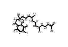 CC1=[C]C(C)=C(C)C2OC(C)(CCCC(C)CCCC(C)CCCC(C)C)CCC12